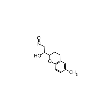 Cc1ccc2c(c1)CCC(C(O)CN=O)O2